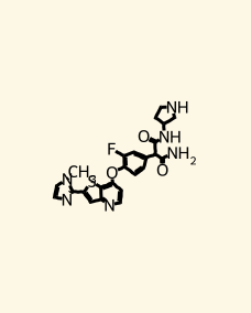 Cn1ccnc1-c1cc2nccc(Oc3ccc(C(C(N)=O)C(=O)NC4CCNC4)cc3F)c2s1